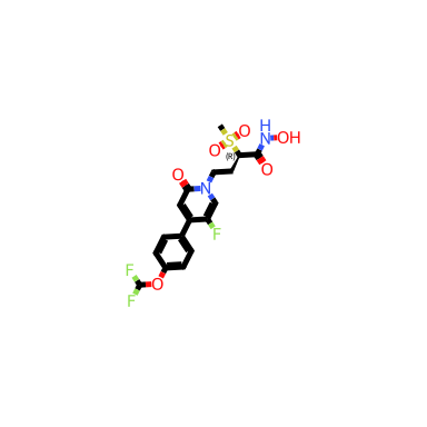 CS(=O)(=O)[C@H](CCn1cc(F)c(-c2ccc(OC(F)F)cc2)cc1=O)C(=O)NO